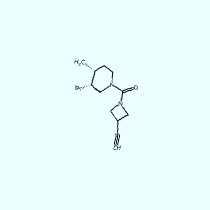 C#CC1CN(C(=O)N2CC[C@@H](C)[C@@H](C(C)C)C2)C1